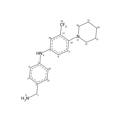 NCc1ccc(Nc2ccc(N3CCCCC3)c(C(F)(F)F)c2)cc1